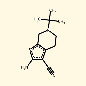 CC(C)(C)N1CCc2c(sc(N)c2C#N)C1